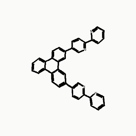 c1ccc(-c2ccc(-c3ccc4c5ccccc5c5ccc(-c6ccc(-c7ccccn7)nc6)cc5c4c3)cn2)nc1